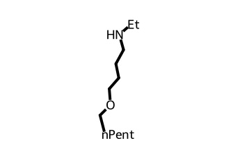 CCCCCCOCCCCNCC